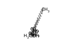 CCCCCCCCCCCCCCCCCCOC(=O)C(COC(=O)C1(C)CC1(C)O)NC=O